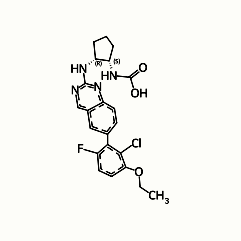 CCOc1ccc(F)c(-c2ccc3nc(N[C@@H]4CCC[C@@H]4NC(=O)O)ncc3c2)c1Cl